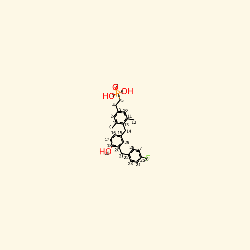 Cc1cc(CCP(=O)(O)O)cc(C)c1Cc1ccc(O)c(Cc2ccc(F)cc2)c1